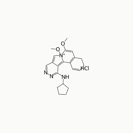 COC1=CC2=C(C=CCC2)C2=c3c(NC4CCCC4)nncc3=C[N+]12OC.Cl